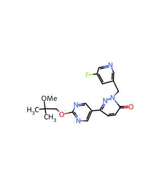 COC(C)(C)COc1ncc(-c2ccc(=O)n(Cc3cncc(F)c3)n2)cn1